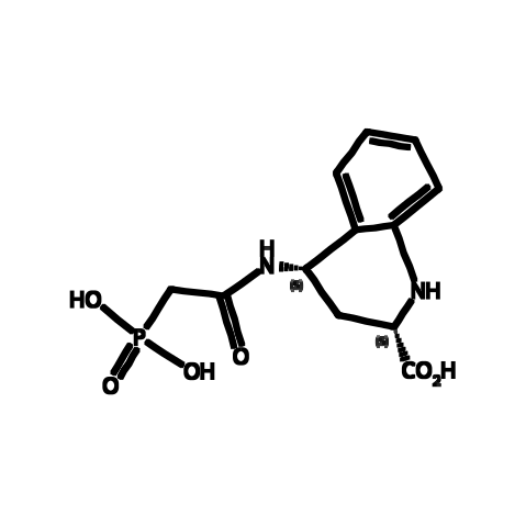 O=C(CP(=O)(O)O)N[C@H]1C[C@@H](C(=O)O)Nc2ccccc21